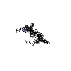 COc1cc(C(=O)NCC(O)(c2cc(C(C)(C)N)cc(-c3ccc(F)cc3)n2)C(F)(F)F)ccc1OC/C(N)=N/O